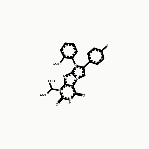 COc1ccccc1-n1c(-c2ccc(F)cc2)cn2c3c(=O)[nH]c(=O)n(C(C=O)OC)c3nc12